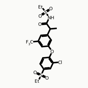 CCS(=O)(=O)NC(=O)C(C)c1cc(Oc2ccc(S(=O)(=O)CC)cc2Cl)cc(C(F)(F)F)c1